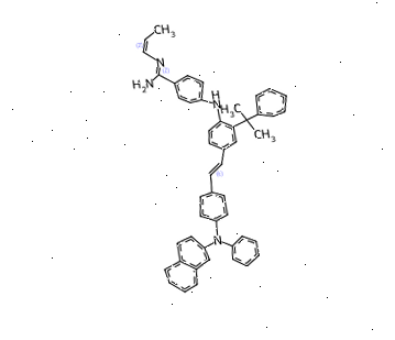 C/C=C\N=C(/N)c1ccc(Nc2ccc(/C=C/c3ccc(N(c4ccccc4)c4ccc5ccccc5c4)cc3)cc2C(C)(C)c2ccccc2)cc1